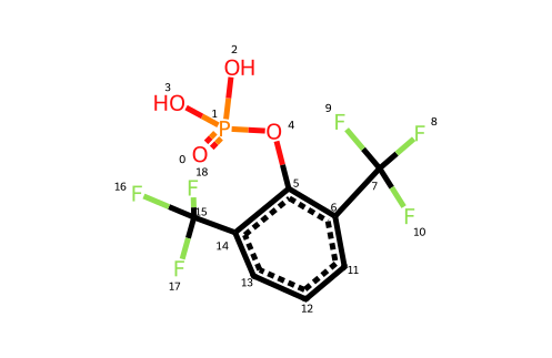 O=P(O)(O)Oc1c(C(F)(F)F)cccc1C(F)(F)F